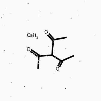 CC(=O)C(C(C)=O)C(C)=O.[CaH2]